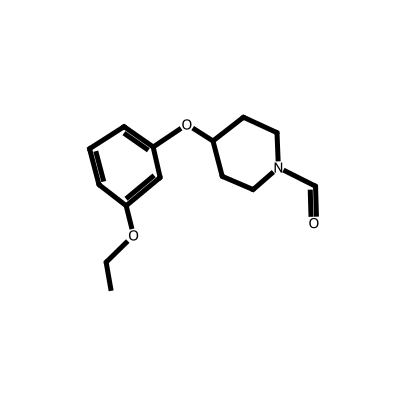 CCOc1cccc(OC2CCN(C=O)CC2)c1